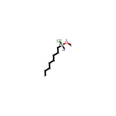 CCCCCCCC[Si](Cl)(I)OC